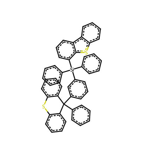 c1ccc(C2(c3cccc([Si](c4ccccc4)(c4ccccc4)c4cccc5c4sc4ccccc45)c3)c3ccccc3Sc3ccccc32)cc1